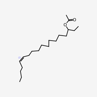 CCCC/C=C\CCCCCCCCCC(CC)OC(C)=O